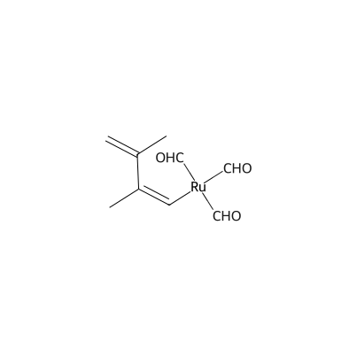 C=C(C)C(C)=[CH][Ru]([CH]=O)([CH]=O)[CH]=O